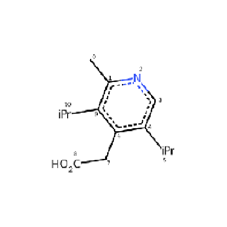 Cc1ncc(C(C)C)c(CC(=O)O)c1C(C)C